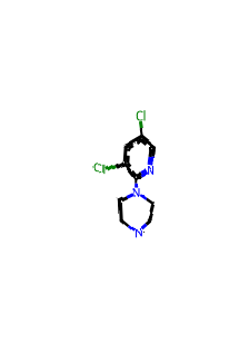 Clc1cnc(N2CC[N]CC2)c(Cl)c1